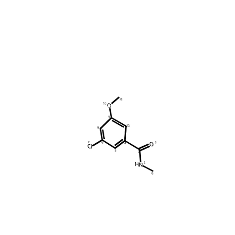 CNC(=O)c1cc(Cl)cc(OC)c1